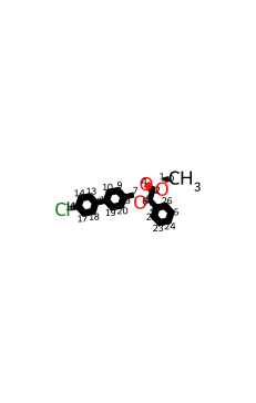 CCOC(=O)C(OCc1ccc(-c2ccc(Cl)cc2)cc1)c1ccccc1